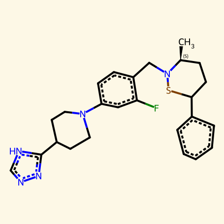 C[C@H]1CCC(c2ccccc2)SN1Cc1ccc(N2CCC(c3nnc[nH]3)CC2)cc1F